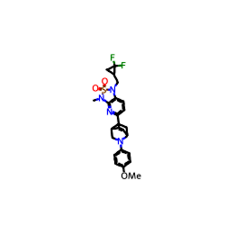 COc1ccc(N2CC3CCC2C=C3c2ccc3c(n2)N(C)S(=O)(=O)N3CC2CC2(F)F)cc1